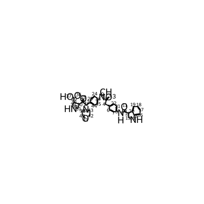 CN(C(=O)Cc1ccc(NC(=O)C2CNc3ccccc32)cc1)c1ccc(C(C(=O)C2CNCC2C(=O)O)N2CCOCC2)cc1